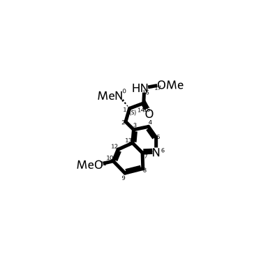 CN[C@@H](Cc1ccnc2ccc(OC)cc12)C(=O)NOC